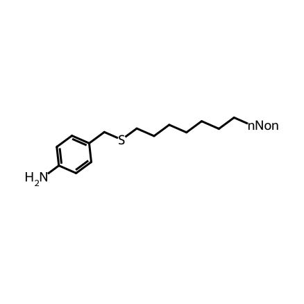 CCCCCCCCCCCCCCCCSCc1ccc(N)cc1